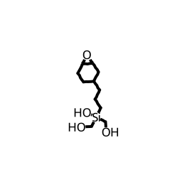 OC[Si](O)(CO)CCCC1CCC2OC2C1